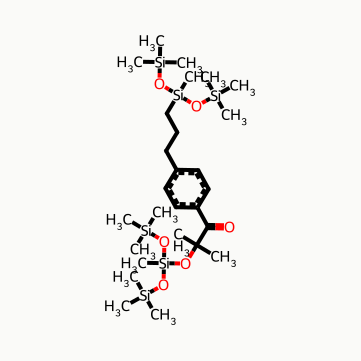 CC(C)(O[Si](C)(O[Si](C)(C)C)O[Si](C)(C)C)C(=O)c1ccc(CCC[Si](C)(O[Si](C)(C)C)O[Si](C)(C)C)cc1